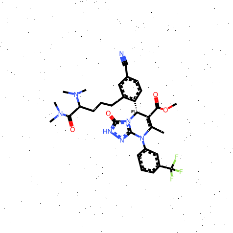 COC(=O)C1=C(C)N(c2cccc(C(F)(F)F)c2)c2n[nH]c(=O)n2[C@@H]1c1ccc(C#N)cc1CCCC(C(=O)N(C)C)N(C)C